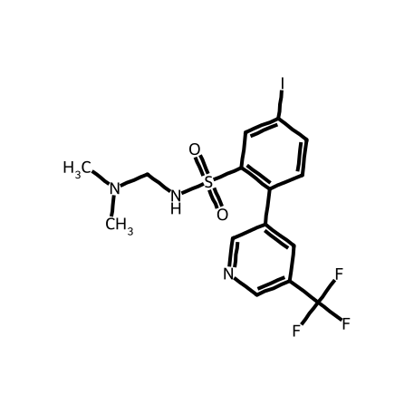 CN(C)CNS(=O)(=O)c1cc(I)ccc1-c1cncc(C(F)(F)F)c1